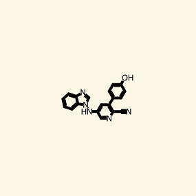 N#Cc1ncc(Nn2cnc3ccccc32)cc1-c1ccc(O)cc1